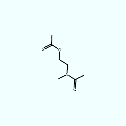 CC(=O)N(C)CCOC(C)=S